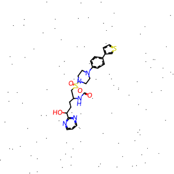 O=CNC(CCC(O)c1ncccn1)CS(=O)(=O)N1CCN(c2ccc(-c3ccsc3)cc2)CC1